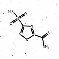 CS(=O)(=O)c1nsc(C(N)=O)n1